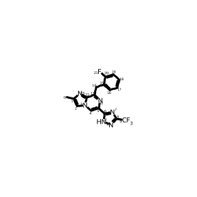 Cc1cn2cc(-c3nc(C(F)(F)F)n[nH]3)nc(Cc3ccccc3F)c2n1